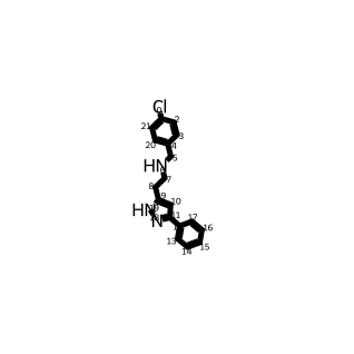 Clc1ccc(CNCCc2cc(-c3ccccc3)n[nH]2)cc1